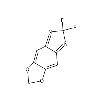 FC1(F)N=c2cc3c(cc2=N1)OCO3